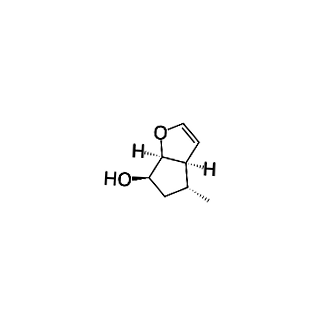 C[C@@H]1C[C@@H](O)[C@H]2OC=C[C@H]21